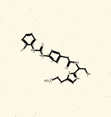 CC(C)CC(NC(=O)Cc1ccc(NC(=O)Nc2ccccc2F)cc1)c1ncc(CCC(=O)O)s1